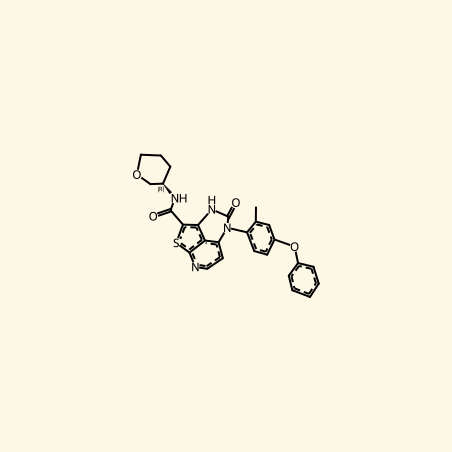 Cc1cc(Oc2ccccc2)ccc1N1C(=O)Nc2c(C(=O)N[C@@H]3CCCOC3)sc3nccc1c23